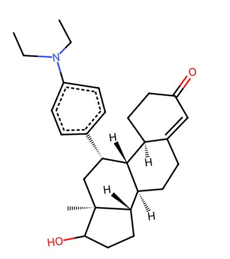 CCN(CC)c1ccc([C@H]2C[C@]3(C)C(O)CC[C@H]3[C@@H]3CCC4=CC(=O)CC[C@@H]4[C@H]32)cc1